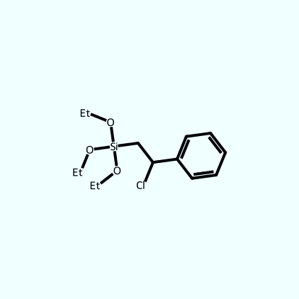 CCO[Si](CC(Cl)c1ccccc1)(OCC)OCC